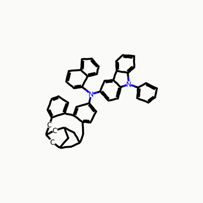 c1ccc(-n2c3ccccc3c3cc(N(c4ccc5c(c4)-c4ccccc4CC4CC6CC(C5)CC(C4)C6)c4cccc5ccccc45)ccc32)cc1